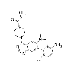 C=CC(=O)N1CCN(c2ncnc3cc(-c4nc(N)ccc4C(F)(F)F)c(N4CCC4)cc23)CC1